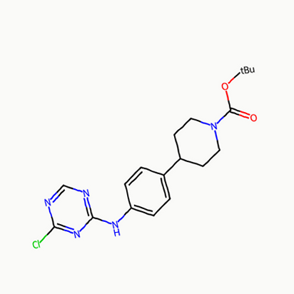 CC(C)(C)OC(=O)N1CCC(c2ccc(Nc3ncnc(Cl)n3)cc2)CC1